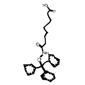 O=C(O)CCCCCCC(=O)NOC(c1ccccc1)(c1ccccc1)c1ccccc1